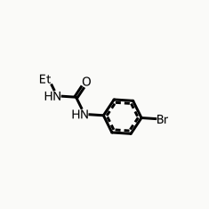 CCNC(=O)Nc1ccc(Br)cc1